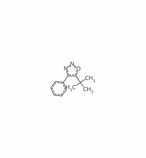 CC(C)(C)c1onnc1-c1ccccc1